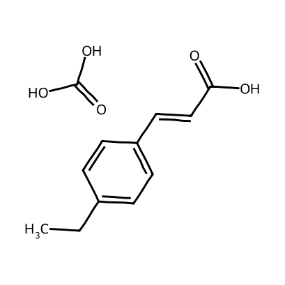 CCc1ccc(C=CC(=O)O)cc1.O=C(O)O